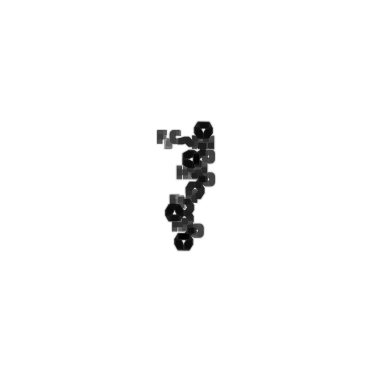 CCC(CC(CNC(=O)c1ccccc1)c1ccccc1)N1CCC(C(=O)c2nc3c(C(=O)c4nc5ccccc5n4CCCC(F)(F)F)cccc3[nH]2)CC1